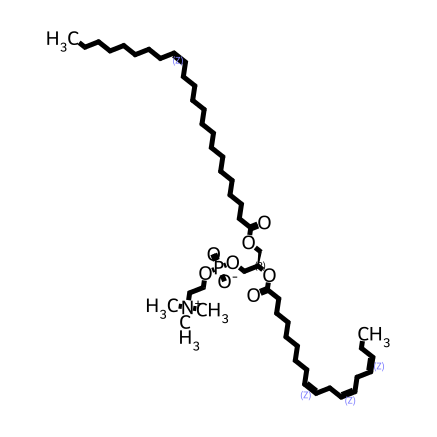 CC/C=C\C/C=C\C/C=C\CCCCCCCC(=O)O[C@H](COC(=O)CCCCCCCCCCCCC/C=C\CCCCCCCC)COP(=O)([O-])OCC[N+](C)(C)C